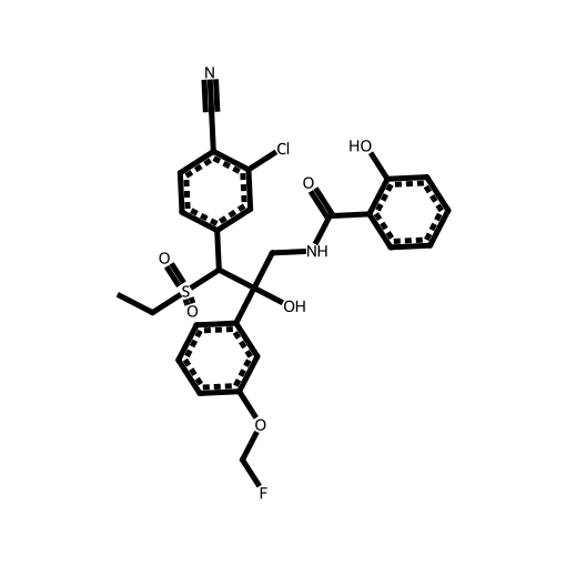 CCS(=O)(=O)C(c1ccc(C#N)c(Cl)c1)C(O)(CNC(=O)c1ccccc1O)c1cccc(OCF)c1